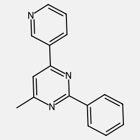 Cc1cc(-c2cccnc2)nc(-c2ccccc2)n1